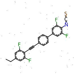 CCc1cc(F)c(C#Cc2ccc(-c3cc(F)c(N=C=S)c(F)c3)cc2)c(F)c1